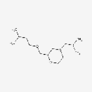 CC(C)CCOCC1CN(CC(C)C)CCO1